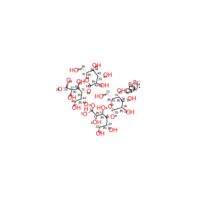 O=C([O-])[C@H](O)[C@@H](O)[C@H](O[C@@H]1O[C@H](CO)[C@H](O)[C@H](O)[C@H]1O)[C@H](O)CO.O=C([O-])[C@H](O)[C@@H](O)[C@H](O[C@@H]1O[C@H](CO)[C@H](O)[C@H](O)[C@H]1O)[C@H](O)CO.[Br-].[Br-].[Ca+2].[Ca+2]